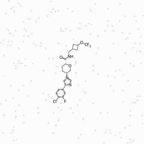 O=C(NCC1CC(OC(F)(F)F)C1)[C@H]1CC[C@H](n2cnc(-c3ccc(Cl)c(F)c3)c2)CO1